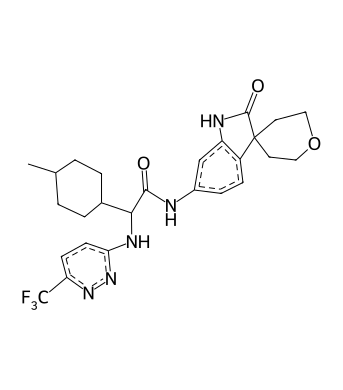 CC1CCC(C(Nc2ccc(C(F)(F)F)nn2)C(=O)Nc2ccc3c(c2)NC(=O)C32CCOCC2)CC1